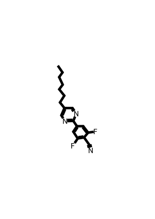 CCCCCCCc1cnc(-c2cc(F)c(C#N)c(F)c2)nc1